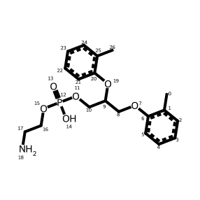 Cc1ccccc1OCC(COP(=O)(O)OCCN)Oc1ccccc1C